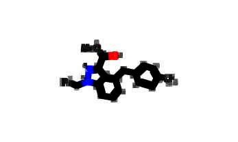 COC(=O)c1nn(CC(C)C)c2cccc(Cc3ccc(C(F)(F)F)cc3)c12